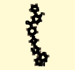 O=C(c1ccc(F)c(-c2nccs2)c1)N1CCC(N2CC(n3cc(-c4ncnc5[nH]ccc45)cn3)C2)CC1